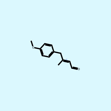 COc1ccc(C/C(C)=C/C=O)cc1